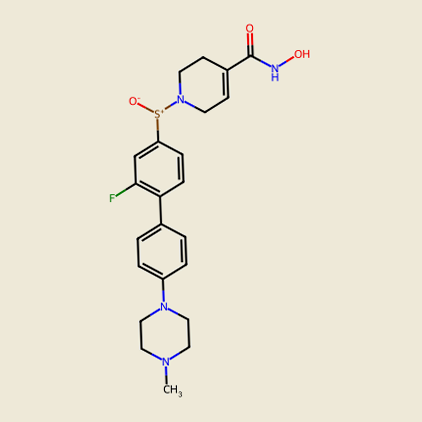 CN1CCN(c2ccc(-c3ccc([S+]([O-])N4CC=C(C(=O)NO)CC4)cc3F)cc2)CC1